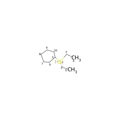 CC[SH](CC)C1CCCCC1